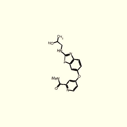 CNC(=O)c1cc(Oc2ccc3nc(NCC(C)O)sc3c2)ccn1